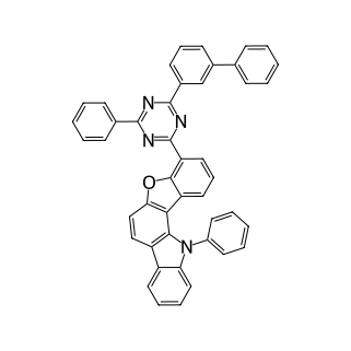 c1ccc(-c2cccc(-c3nc(-c4ccccc4)nc(-c4cccc5c4oc4ccc6c7ccccc7n(-c7ccccc7)c6c45)n3)c2)cc1